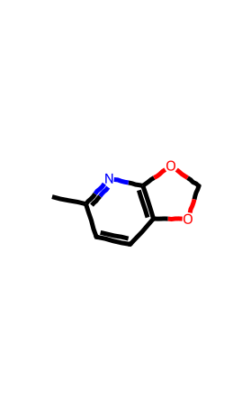 Cc1ccc2c(n1)OCO2